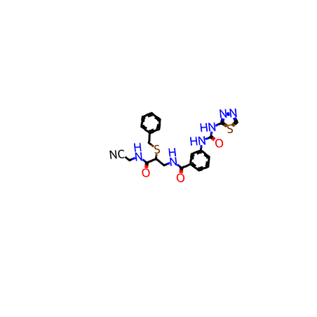 N#CCNC(=O)C(CNC(=O)c1cccc(NC(=O)Nc2nncs2)c1)SCc1ccccc1